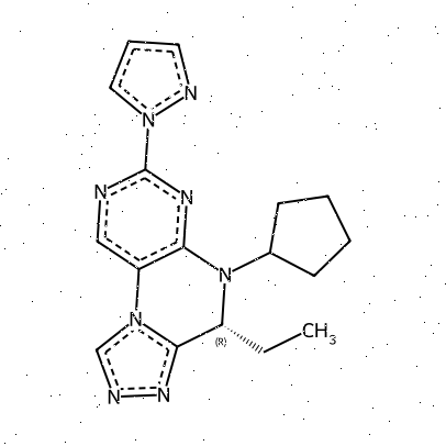 CC[C@@H]1c2nncn2-c2cnc(-n3cccn3)nc2N1C1CCCC1